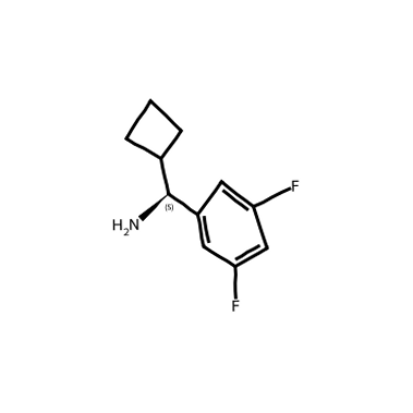 N[C@H](c1cc(F)cc(F)c1)C1CCC1